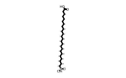 O=C(O)CCCCCCCCCCCCCCCCCCCCCCC[SiH](Cl)Cl